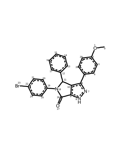 COc1ccc(-c2n[nH]c3c2C(c2ccccc2)N(c2ccc(Br)cc2)C3=O)cc1